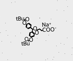 CC(C)(C)C(=O)Oc1ccc(C(OC(=O)CCC(=O)[O-])c2ccc(OC(=O)C(C)(C)C)cc2)cc1.[Na+]